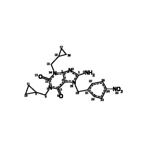 Nc1nc2c(c(=O)n(CC3CC3)c(=O)n2CC2CC2)n1Cc1ccc([N+](=O)[O-])cc1